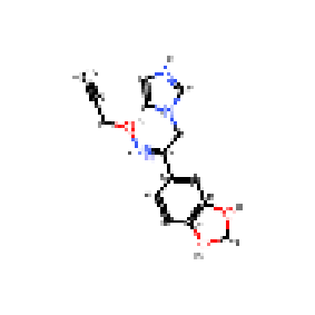 C#CCO/N=C(\Cn1ccnc1)c1ccc2c(c1)OCO2